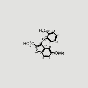 COc1ccc2sc(C(=O)O)c(Sc3ccccc3C)c2c1